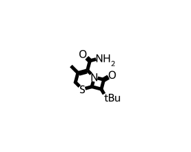 CC1=C(C(N)=O)N2C(=O)C(C(C)(C)C)C2SC1